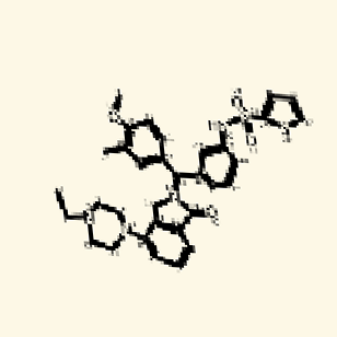 CCN1CCN(c2cccc3c2CN(C(c2cccc(NS(=O)(=O)c4cccs4)c2)c2ccc(OC)c(C)c2)C3=O)CC1